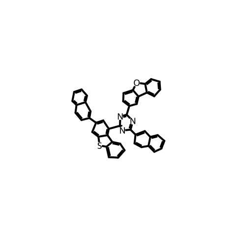 c1ccc2cc(-c3cc(-c4nc(-c5ccc6ccccc6c5)nc(-c5ccc6oc7ccccc7c6c5)n4)c4c(c3)sc3ccccc34)ccc2c1